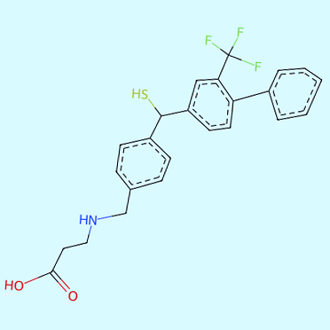 O=C(O)CCNCc1ccc(C(S)c2ccc(-c3ccccc3)c(C(F)(F)F)c2)cc1